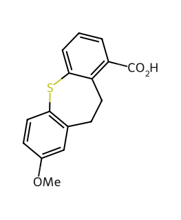 COc1ccc2c(c1)CCc1c(cccc1C(=O)O)S2